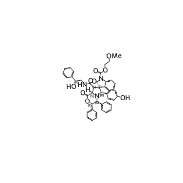 COCCOC(=O)N1C(=O)[C@@]2(c3ccccc31)[C@H](C(=O)NC[C@H](O)c1ccccc1)[C@H]1C(=O)O[C@H](c3ccccc3)[C@H](c3ccccc3)N1[C@@H]2c1ccc(O)cc1